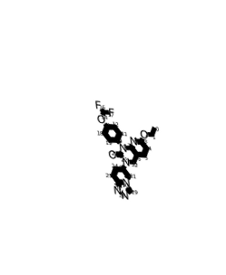 CCOc1ccc2c(n1)N(c1ccc(OC(F)F)cc1)C(=O)N(c1ccc3nncn3c1)C2